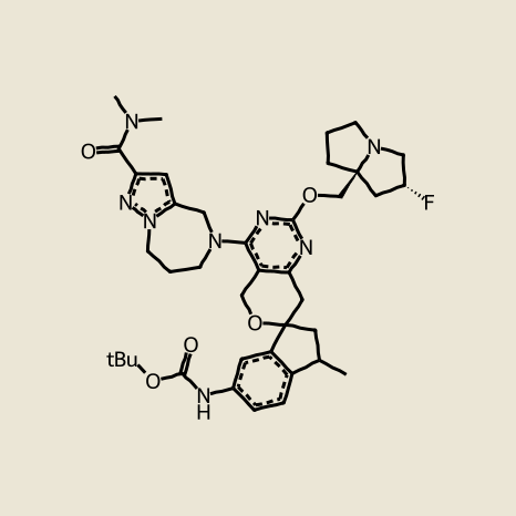 CC1CC2(Cc3nc(OC[C@@]45CCCN4C[C@H](F)C5)nc(N4CCCn5nc(C(=O)N(C)C)cc5C4)c3CO2)c2cc(NC(=O)OC(C)(C)C)ccc21